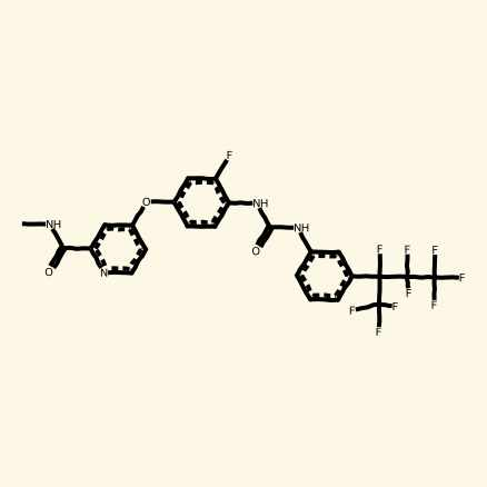 CNC(=O)c1cc(Oc2ccc(NC(=O)Nc3cccc(C(F)(C(F)(F)F)C(F)(F)C(F)(F)F)c3)c(F)c2)ccn1